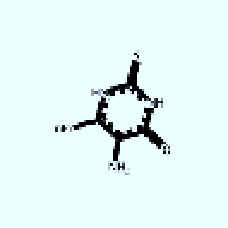 CCCc1[nH]c(=S)[nH]c(=O)c1N